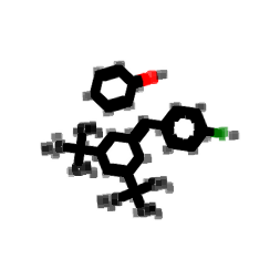 CC(C)(C)C1=CC(C(C)(C)C)CC(=Cc2ccc(F)cc2)C1.O=C1C=CCC=C1